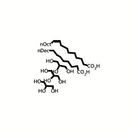 CCCCCCCC/C=C\CCCCCCCC(=O)O.CCCCCCCCCCCCCCCCCC(=O)O.OCC(O)CO.OCC(O)CO.OCC(O)CO